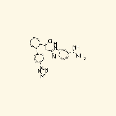 N=C(N)c1ccc2nc(CC(=O)c3ccccc3-c3ccc(-n4ncnn4)cc3)[nH]c2c1